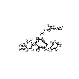 CC(C)(C)[Si](C)(C)OC/C=C/c1cn(Cc2ccc(F)cc2)c(=O)c(N2CCS(O)(O)CC2)n1